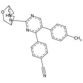 Cc1ccc(-c2cnc(N3CC4CNCC3CO4)nc2-c2ccc(C#N)cc2)cc1